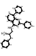 NC(CNc1nc(-c2ccncc2)nc2c(-c3ccccn3)nccc12)Cc1ccccc1